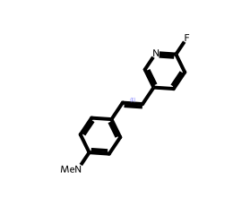 CNc1ccc(/C=C/c2ccc(F)nc2)cc1